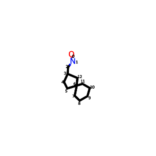 O=NCC1CCC2(CCCCC2)C1